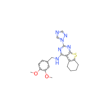 COc1ccc(CNc2nc(-n3cncn3)nc3sc4c(c23)CCCC4)cc1OC